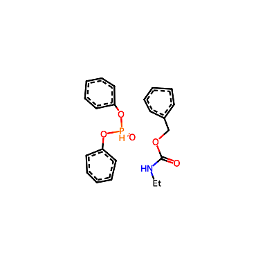 CCNC(=O)OCc1ccccc1.O=[PH](Oc1ccccc1)Oc1ccccc1